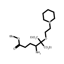 CCOC(=O)C(OCCN1CCCCC1)(C(=O)OCC)C(N)CCC(=O)OC(C)(C)C